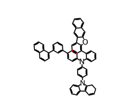 C1=Cc2c(n(-c3ccc(N(c4ccc(-c5cccc(-c6cccc7ccccc67)c5)cc4)c4ccccc4-c4cccc5c4oc4cc6ccccc6cc45)cc3)c3ccccc23)CC1